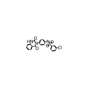 O=c1[nH]c2ccccc2c(=O)n1-c1ccc([N]S(=O)(=O)c2cccc(Cl)c2)cc1